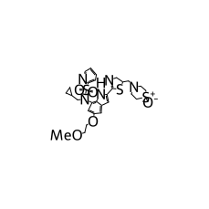 COCCOc1cc(N(CC2CC2)S(=O)(=O)c2ccccn2)c2[nH]c(C3=NCC(CN4CC[S+]([O-])CC4)S3)cc2c1